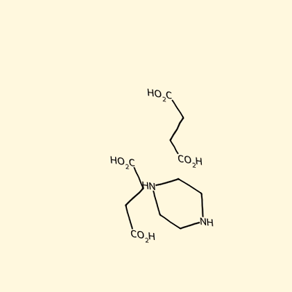 C1CNCCN1.O=C(O)CCC(=O)O.O=C(O)CCC(=O)O